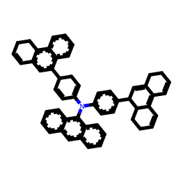 C1=CC2=C3C=CCCC3C(c3ccc(N(C4=CCC(c5cc6c(c7ccccc57)CCC=C6)C=C4)c4c5ccccc5cc5ccccc45)cc3)C=C2CC1